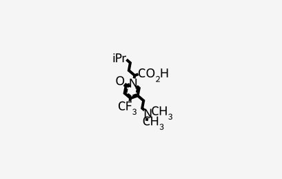 CC(C)CCC(C(=O)O)n1cc(CCN(C)C)c(C(F)(F)F)cc1=O